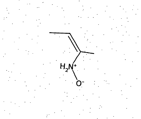 CC=C(C)[NH2+][O-]